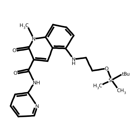 Cn1c(=O)c(C(=O)Nc2ccccn2)cc2c(NCCO[Si](C)(C)C(C)(C)C)cccc21